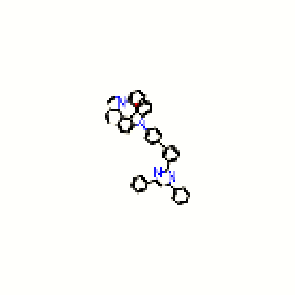 c1ccc(-c2cc(-c3ccccc3)nc(-c3cccc(-c4ccc(-n5c6ccccc6c6c7c(ccc8ccn(-c9ccccc9)c87)ccc65)cc4)c3)n2)cc1